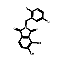 O=C1c2ccc(O)c(O)c2C(=O)N1Cc1cc(Cl)ccc1F